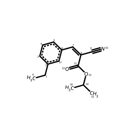 CCc1cccc(C=C(C#N)C(=O)OC(C)C)c1